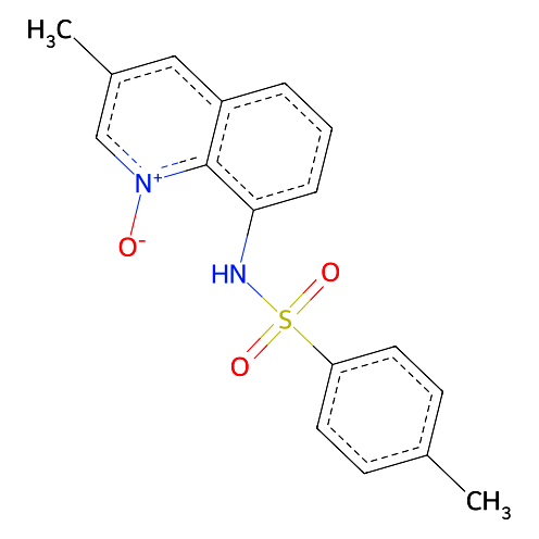 Cc1ccc(S(=O)(=O)Nc2cccc3cc(C)c[n+]([O-])c23)cc1